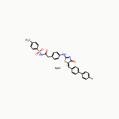 Cc1ccc(S(=O)(=O)NC(=O)Cc2ccc(NC3=NC(=O)/C(=C\c4ccc(-c5ccc(F)cc5)cc4)S3)cc2)cc1.[NaH]